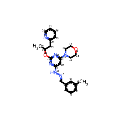 Cc1cccc(C=NNc2cc(N3CCOCC3)nc(OC(C)Cc3ccccn3)n2)c1